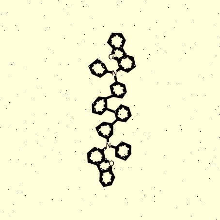 c1ccc(N(c2cccc(-c3ccccc3-c3ccccc3-c3cccc(N(c4ccccc4)c4cccc5c4oc4ccccc45)c3)c2)c2cccc3c2oc2ccccc23)cc1